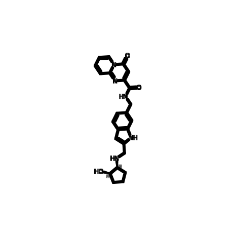 O=C(NCc1ccc2cc(CN[C@H]3CCC[C@H]3O)[nH]c2c1)c1cc(=O)n2ccccc2n1